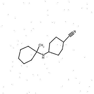 CC1(NC2CCC(C#N)CC2)CCCCC1